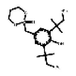 CC(C)(C)CC(C)(C)c1cc(CP2(=O)OCCCO2)cc(C(C)(C)CC(C)(C)C)c1O